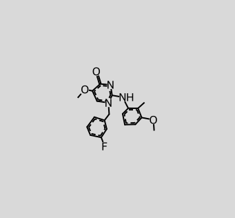 COc1cccc(Nc2nc(=O)c(OC)cn2Cc2cccc(F)c2)c1C